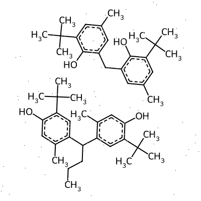 CCCC(c1cc(C(C)(C)C)c(O)cc1C)c1cc(C(C)(C)C)c(O)cc1C.Cc1cc(Cc2cc(C)cc(C(C)(C)C)c2O)c(O)c(C(C)(C)C)c1